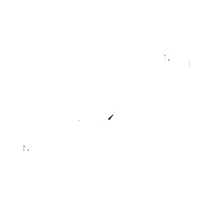 NCCC(=O)O[C@H]1CC[C@H](NI)CC1